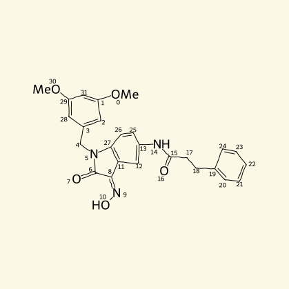 COc1cc(CN2C(=O)/C(=N\O)c3cc(NC(=O)CCc4ccccc4)ccc32)cc(OC)c1